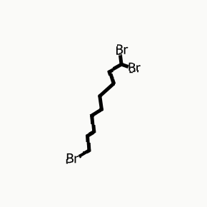 BrCCCCCCCCC(Br)Br